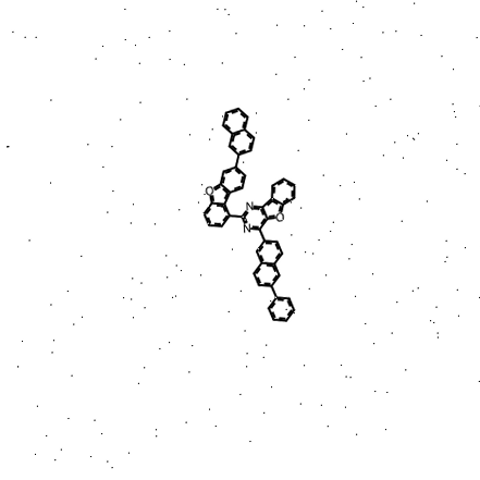 c1ccc(-c2ccc3cc(-c4nc(-c5cccc6oc7cc(-c8ccc9ccccc9c8)ccc7c56)nc5c4oc4ccccc45)ccc3c2)cc1